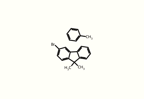 CC1(C)c2ccccc2-c2cc(Br)ccc21.Cc1ccccc1